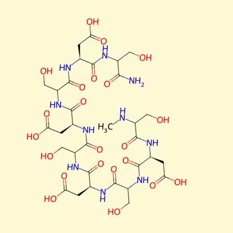 CNC(CO)C(=O)N[C@@H](CC(=O)O)C(=O)NC(CO)C(=O)N[C@@H](CC(=O)O)C(=O)NC(CO)C(=O)N[C@@H](CC(=O)O)C(=O)NC(CO)C(=O)N[C@@H](CC(=O)O)C(=O)NC(CO)C(N)=O